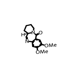 COc1cc2c(cc1OC)C(=O)N1CCCC[C@H]1C=N2